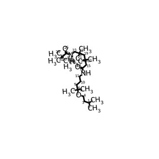 CC(C)CCOC(C)(C)CCCNC(=O)CC(C)(C)CC(C)(C)CNC(=O)C(C)(C)C